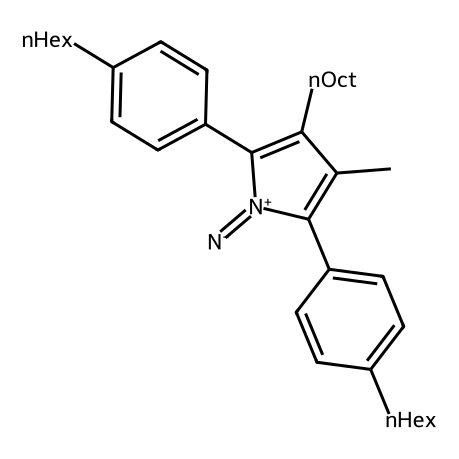 CCCCCCCCC1=C(c2ccc(CCCCCC)cc2)[N+](=[N-])C(c2ccc(CCCCCC)cc2)=C1C